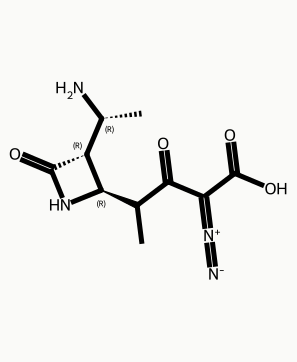 CC(C(=O)C(=[N+]=[N-])C(=O)O)[C@H]1NC(=O)[C@@H]1[C@@H](C)N